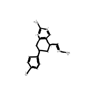 Nc1ncc2c(n1)CC(c1ccc(Cl)cc1)CC2C=NO